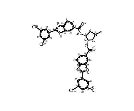 CN1C[C@H](OC(=O)c2ccc3nc(-c4cc(Cl)cc(Cl)c4)oc3c2)[C@@H](OC(=O)c2ccc3nc(-c4cc(Cl)cc(Cl)c4)oc3c2)C1